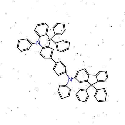 c1ccc(N(c2ccc(-c3ccc4c(c3)[Si](c3ccccc3)(c3ccccc3)c3ccccc3N4c3ccccc3)cc2)c2ccc3c(c2)C(c2ccccc2)(c2ccccc2)c2ccccc2-3)cc1